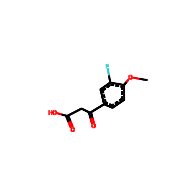 COc1ccc(C(=O)CC(=O)O)cc1F